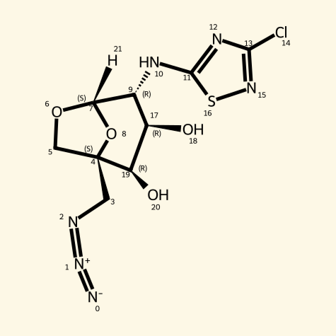 [N-]=[N+]=NC[C@@]12CO[C@@H](O1)[C@H](Nc1nc(Cl)ns1)[C@@H](O)[C@H]2O